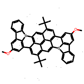 COc1cc2c3c(c1)-c1cc(C(C)(C)C)c4cc5c6c(cc(C(C)(C)C)c7cc(c1c4c76)B3c1ccccc1-2)-c1cc(OC)cc2c1B5c1ccccc1-2